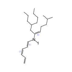 C=C/C=C\C=C\N(I)/C(=C/CCC(C)C)CC(CCC)CCCC